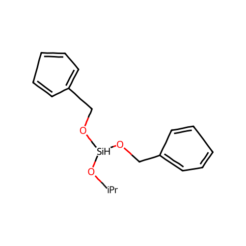 CC(C)O[SiH](OCc1ccccc1)OCc1ccccc1